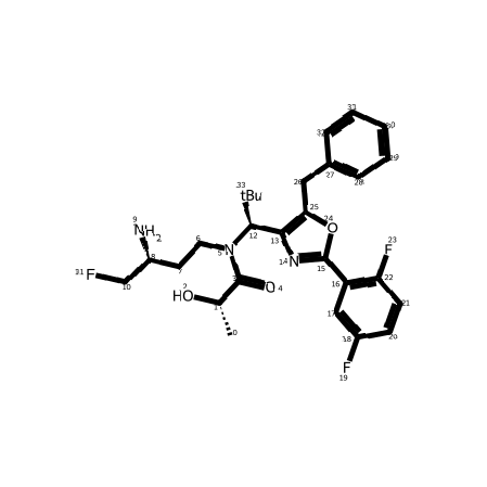 C[C@H](O)C(=O)N(CC[C@H](N)CF)[C@H](c1nc(-c2cc(F)ccc2F)oc1Cc1ccccc1)C(C)(C)C